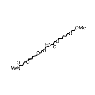 CNC(=O)CCOCCCCOCCOCCNC(=O)COCCCCCOCCOC